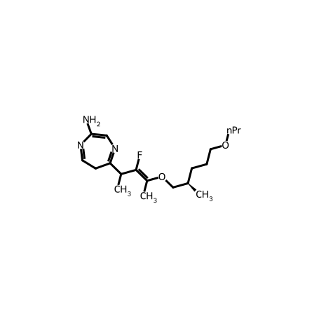 CCCOCCC[C@@H](C)CO/C(C)=C(\F)C(C)C1=NC=C(N)N=CC1